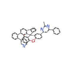 Cc1nc(-c2ccccc2)cc(-c2ccc3c(c2)C2(c4ccccc4O3)c3ccccc3-c3ccc(-c4ccccc4-c4cnccc4C)cc32)n1